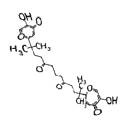 CC(C)(CCC(=O)CCCC(=O)CCC(C)(C)c1cc(=O)c(O)co1)c1cc(=O)c(O)co1